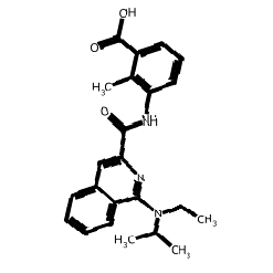 CCN(c1nc(C(=O)Nc2cccc(C(=O)O)c2C)cc2ccccc12)C(C)C